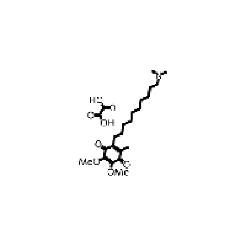 COC1=C(OC)C(=O)C(CCCCCCCCCCN(C)C)=C(C)C1=O.O=C(O)C(=O)O